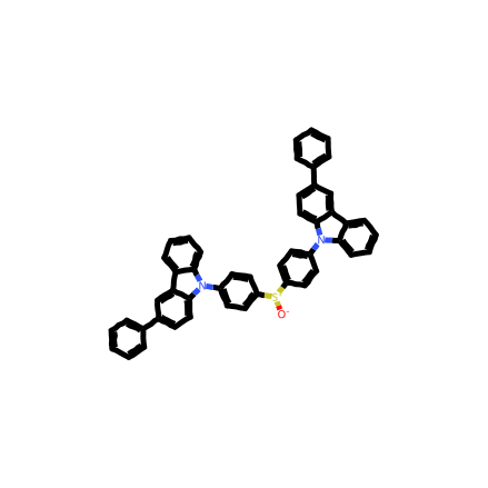 [O-][S+](c1ccc(-n2c3ccccc3c3cc(-c4ccccc4)ccc32)cc1)c1ccc(-n2c3ccccc3c3cc(-c4ccccc4)ccc32)cc1